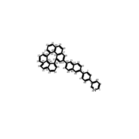 c1cncc(-c2ccc(-c3ccc4cc(-c5cc6ccc7cccc8c9cccc%10ccc%11cccc(c(c5)c6c78)c%11c%109)ccc4c3)cc2)c1